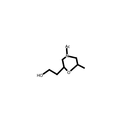 CC(=O)N1CC(C)OC(CCO)C1